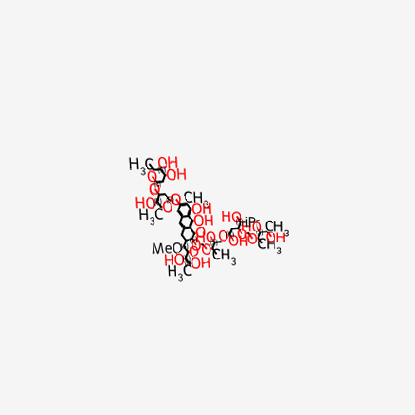 CO[C@H](C(=O)[C@@H](O)[C@@H](C)O)C1Cc2cc3cc(O[C@H]4CC(O[C@H]5CC(O)[C@H](O)C(C)O5)[C@H](O)C(C)O4)c(C)c(O)c3c(O)c2C(=O)[C@H]1OCOC(C)[C@@H](O)CO[C@H](O)CC(OCOC(C)[C@@H](O)C(C)O)[C@@H](O)C(C)C